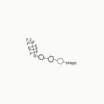 CCCCCCCC1CCC(c2ccc(-c3ccc(OC(F)(F)C(F)(F)C(F)(F)C(F)(F)C(F)(F)F)cc3)cc2)CC1